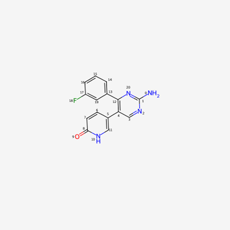 Nc1ncc(-c2ccc(=O)[nH]c2)c(-c2cccc(F)c2)n1